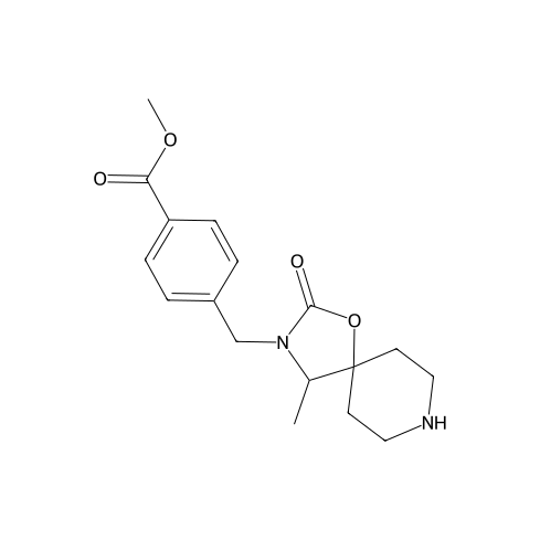 COC(=O)c1ccc(CN2C(=O)OC3(CCNCC3)C2C)cc1